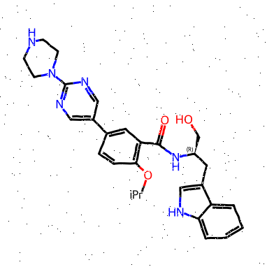 CC(C)Oc1ccc(-c2cnc(N3CCNCC3)nc2)cc1C(=O)N[C@@H](CO)Cc1c[nH]c2ccccc12